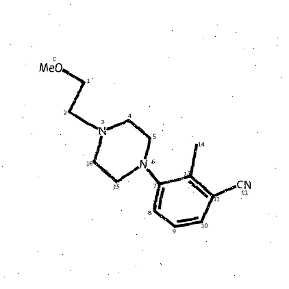 COCCN1CCN(c2cccc(C#N)c2C)CC1